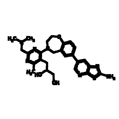 Cc1nc(CN(C)C)nc(N2CCOc3ccc(-c4cnc5sc(N)nc5c4)cc3C2)c1CC(O)CO